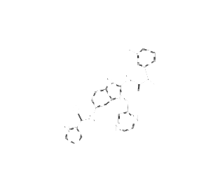 CC(C(=O)Nc1nc2ccc(NC(=O)c3cscn3)cc2n1Cc1cnccn1)c1cccc(Cl)c1